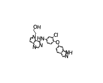 OCCn1ccc2ncnc(Nc3ccc(Oc4ccc5cn[nH]c5c4)c(Cl)c3)c21